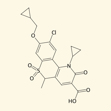 CC1c2cc(C(=O)O)c(=O)n(C3CC3)c2-c2cc(Cl)c(OCC3CC3)cc2S1(=O)=O